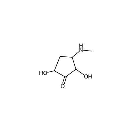 CNC1CC(O)C(=O)C1O